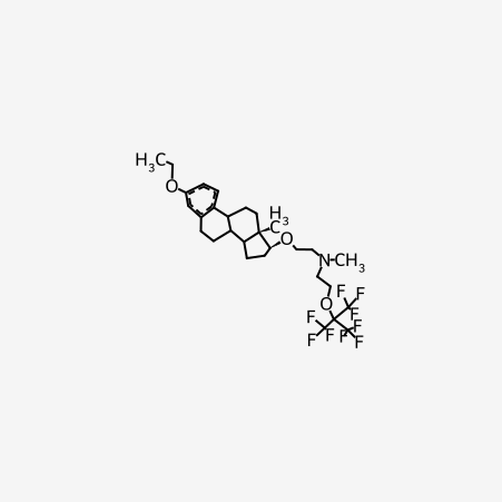 CCOc1ccc2c(c1)CCC1C2CC[C@@]2(C)C1CC[C@@H]2OCCN(C)CCOC(C(F)(F)F)(C(F)(F)F)C(F)(F)F